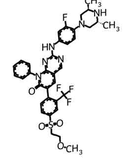 COCCS(=O)(=O)c1ccc(-c2cc3cnc(Nc4ccc(N5C[C@@H](C)N[C@H](C)C5)c(F)c4)nc3n(-c3ccccc3)c2=O)c(C(F)(F)F)c1